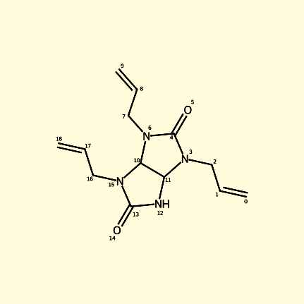 C=CCN1C(=O)N(CC=C)C2C1NC(=O)N2CC=C